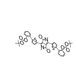 CN1C(=O)C2=C(c3ccc(-c4ccccc4OC(=O)OC(C)(C)C)s3)N(C)C(=O)C2=C1c1ccc(-c2ccccc2OC(=O)OC(C)(C)C)s1